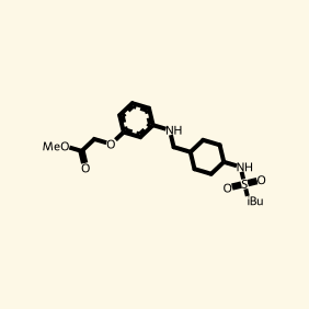 CCC(C)S(=O)(=O)NC1CCC(CNc2cccc(OCC(=O)OC)c2)CC1